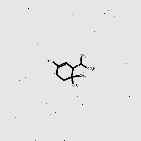 CC1=CC(C(C)C(=O)O)C(C)(C)CC1